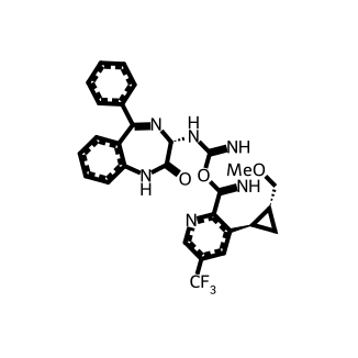 COC[C@@H]1C[C@H]1c1cc(C(F)(F)F)cnc1C(=N)OC(=N)N[C@H]1N=C(c2ccccc2)c2ccccc2NC1=O